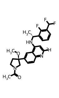 [2H]c1cc(N[C@H](C)c2cccc(C(F)F)c2F)c2cc([C@@]3(OC)CCN(C(C)=O)C3)ccc2n1